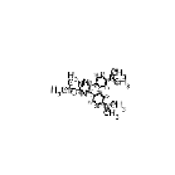 CC(C)Oc1nnc(-c2ccc(N(C)C)cc2)c(-c2ccc(N(C)C)cc2)n1